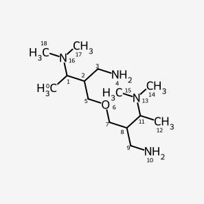 CC(C(CN)COCC(CN)C(C)N(C)C)N(C)C